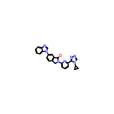 O=C1c2cc(-n3cnc4ccccc43)ccc2CN1c1cccc(-c2nncn2C2CC2)n1